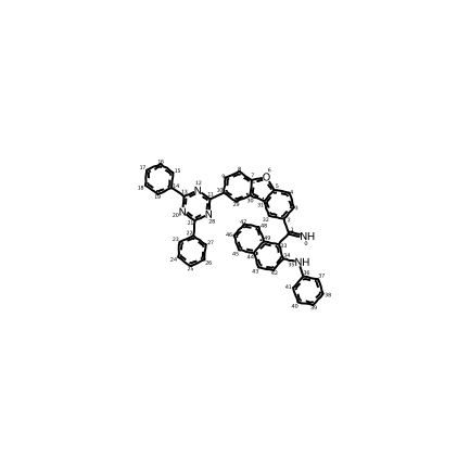 N=C(c1ccc2oc3ccc(-c4nc(-c5ccccc5)nc(-c5ccccc5)n4)cc3c2c1)c1c(Nc2ccccc2)ccc2ccccc12